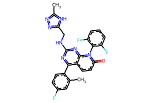 Cc1nnc(CNc2nc(-c3ccc(F)cc3C)c3ccc(=O)n(-c4c(F)cccc4F)c3n2)[nH]1